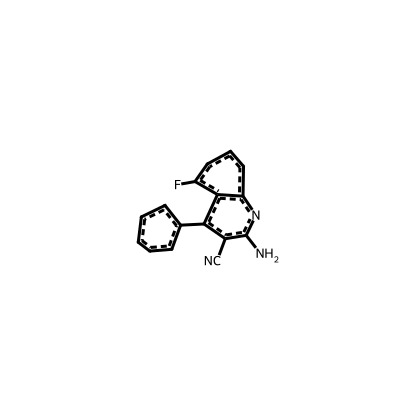 N#Cc1c(N)nc2cccc(F)c2c1-c1ccccc1